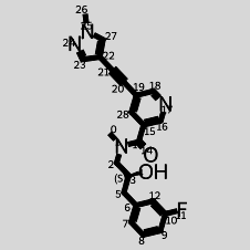 CN(C[C@@H](O)Cc1cccc(F)c1)C(=O)c1cncc(C#Cc2cnn(C)c2)c1